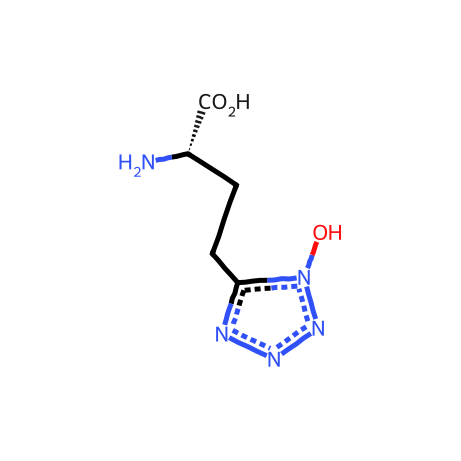 N[C@@H](CCc1nnnn1O)C(=O)O